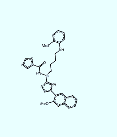 COc1nc2ccccc2cc1-c1cnc([C@H](CCCCNc2ccccc2SC)NC(=O)c2cncs2)[nH]1